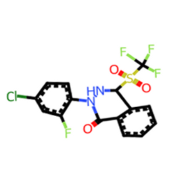 O=C1c2ccccc2C(S(=O)(=O)C(F)(F)F)NN1c1ccc(Cl)cc1F